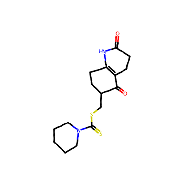 O=C1CCC2=C(CCC(CSC(=S)N3CCCCC3)C2=O)N1